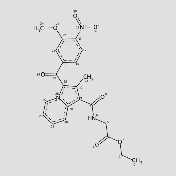 CCOC(=O)CNC(=O)c1c(C)c(C(=O)c2ccc([N+](=O)[O-])c(OC)c2)n2ccccc12